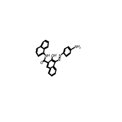 Nc1ccc(N=Nc2c(O)c(C(=O)Nc3cccc4ccccc34)cc3ccccc23)cc1